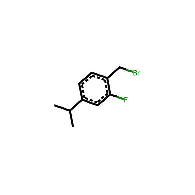 CC(C)c1ccc(CBr)c(F)c1